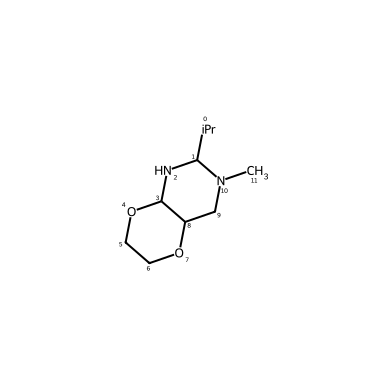 CC(C)C1NC2OCCOC2CN1C